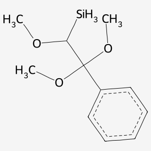 COC([SiH3])C(OC)(OC)c1ccccc1